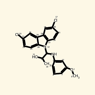 COc1cccc(NC(C(C)O)n2c3ccc(Cl)cc3c3cc(Cl)ccc32)c1